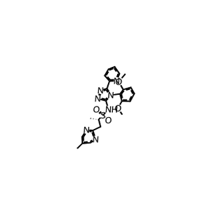 COc1cccc(OC)c1-n1c(NS(=O)(=O)[C@@H](C)Cc2ncc(C)cn2)nnc1-c1ccccn1